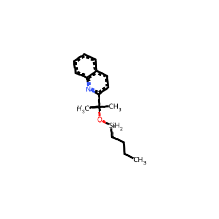 CCCC[SiH2]OC(C)(C)c1ccc2ccccc2n1